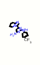 Nc1cc(-c2cnc3ccccn23)nc(Nc2ccc(C(F)(F)F)cc2)n1